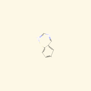 C1=NC=NSc2ccccc21